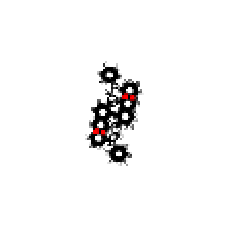 c1ccc(P(COc2ccc3ccccc3c2-c2c(OCP(c3ccccc3)c3ccccc3)ccc3ccccc23)c2ccccc2)cc1